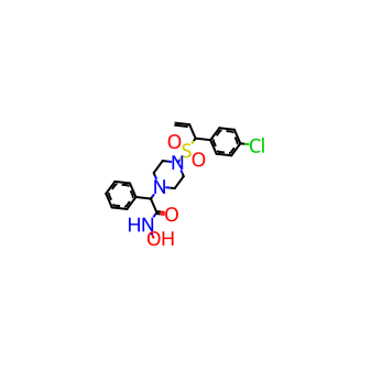 C=CC(c1ccc(Cl)cc1)S(=O)(=O)N1CCN(C(C(=O)NO)c2ccccc2)CC1